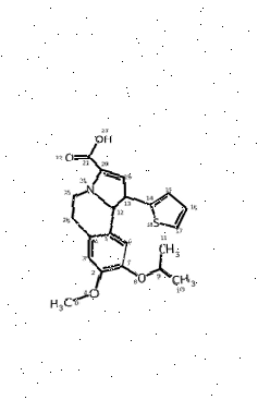 COc1cc2c(cc1OC(C)C)C1C(c3cccs3)C=C(C(=O)O)N1CC2